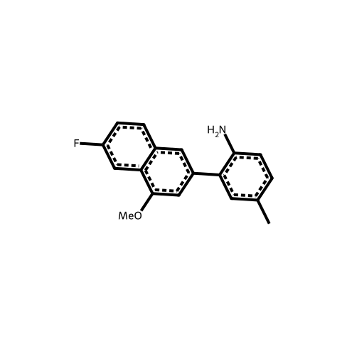 COc1cc(-c2cc(C)ccc2N)cc2ccc(F)cc12